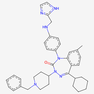 Cc1ccc2c(c1)N(c1ccc(NCc3ncc[nH]3)cc1)C(=O)N(C1CCN(Cc3ccccc3)CC1)N=C2C1CCCCC1